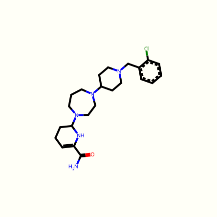 NC(=O)C1=CCCC(N2CCCN(C3CCN(Cc4ccccc4Cl)CC3)CC2)N1